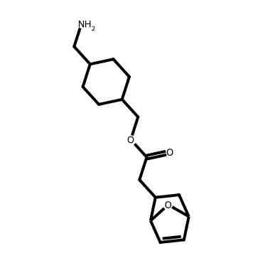 NCC1CCC(COC(=O)CC2CC3C=CC2O3)CC1